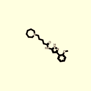 COc1ccccc1-c1cc(NC(=O)CCCCN2CCCCCC2)[nH]n1